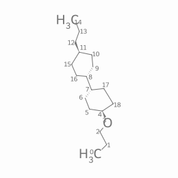 CCCO[C@H]1CC[C@H]([C@H]2CC[C@H](CCC)CC2)CC1